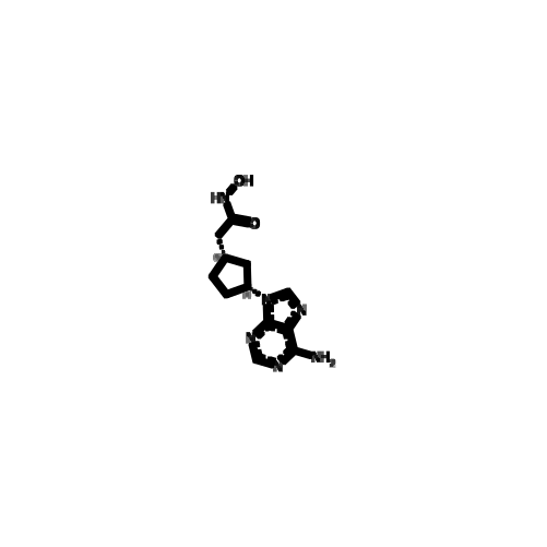 Nc1ncnc2c1ncn2[C@@H]1CC[C@H](CC(=O)NO)C1